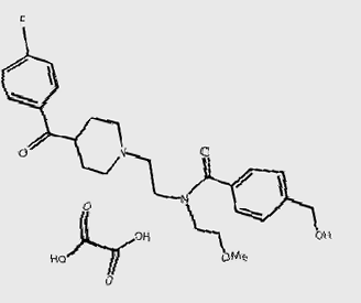 COCCN(CCN1CCC(C(=O)c2ccc(F)cc2)CC1)C(=O)c1ccc(CO)cc1.O=C(O)C(=O)O